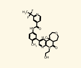 Cc1ccc(NC(=O)c2ccnc(C(C)(F)F)c2)cc1-c1cnc2c(c1)C1(C)CCOCCC1C(=O)N2CCO